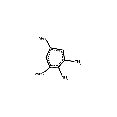 COc1cc(SC)cc(C)c1N